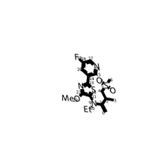 C=C(C(C)CS(C)(=O)=O)N(CC)c1sc(-c2cncc(F)c2)nc1OC